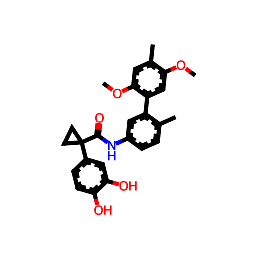 COc1cc(-c2cc(NC(=O)C3(c4ccc(O)c(O)c4)CC3)ccc2C)c(OC)cc1C